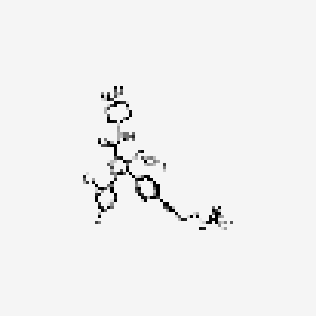 COc1c(C(=O)NN2CCS(=O)(=O)CC2)nn(-c2ccc(F)cc2Cl)c1-c1ccc(C#CCCO[N+](=O)[O-])cc1